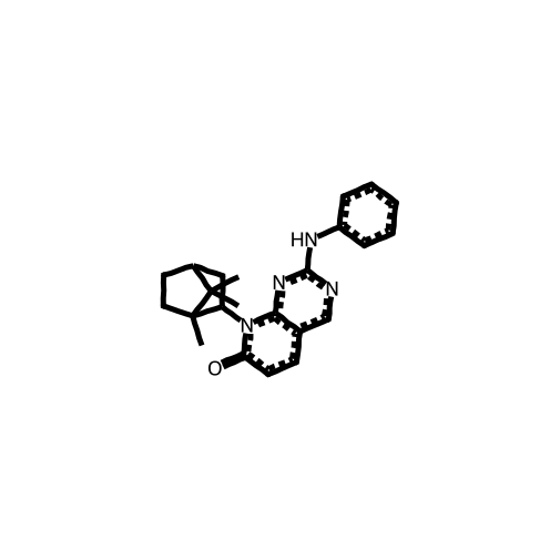 CC1(C)C2CCC1(C)C(n1c(=O)ccc3cnc(Nc4ccccc4)nc31)C2